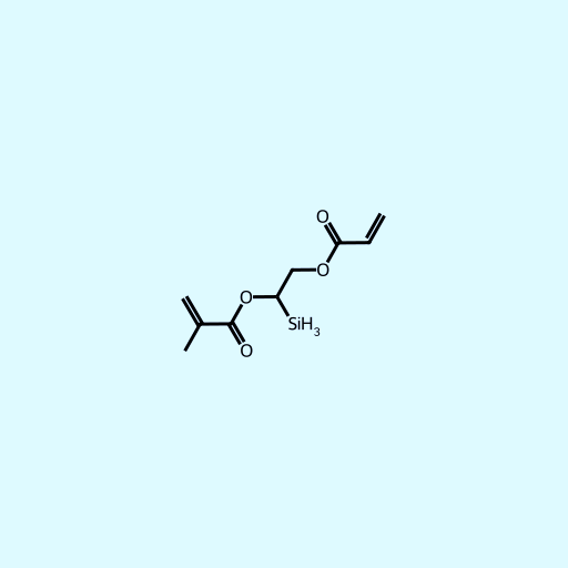 C=CC(=O)OCC([SiH3])OC(=O)C(=C)C